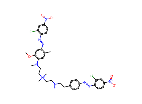 COc1cc(N=Nc2ccc([N+](=O)[O-])cc2Cl)c(C)cc1N(C)CC[N+](C)(C)CCNCCc1ccc(N=Nc2ccc([N+](=O)[O-])cc2Cl)cc1